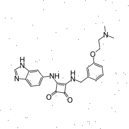 CN(C)CCOc1cccc(CNc2c(Nc3ccc4nc[nH]c4c3)c(=O)c2=O)c1